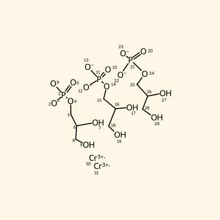 O=P([O-])([O-])OCC(O)CO.O=P([O-])([O-])OCC(O)CO.O=P([O-])([O-])OCC(O)CO.[Cr+3].[Cr+3]